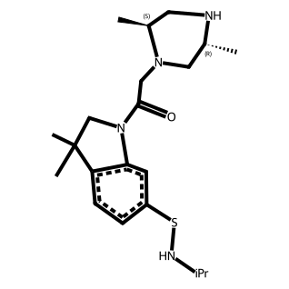 CC(C)NSc1ccc2c(c1)N(C(=O)CN1C[C@@H](C)NC[C@@H]1C)CC2(C)C